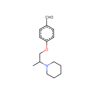 CC(COc1ccc(C=O)cc1)N1CCCCC1